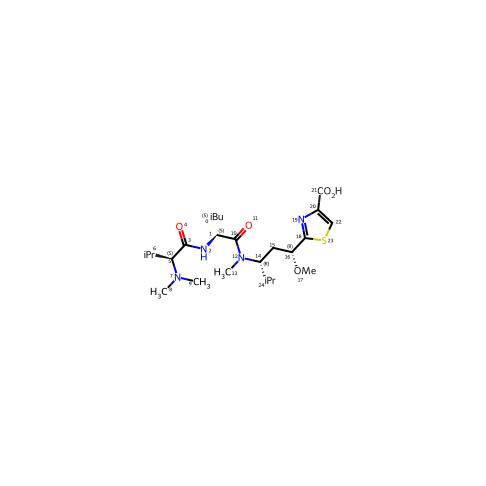 CC[C@H](C)[C@H](NC(=O)[C@H](C(C)C)N(C)C)C(=O)N(C)[C@H](C[C@@H](OC)c1nc(C(=O)O)cs1)C(C)C